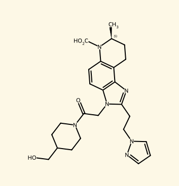 C[C@H]1CCc2c(ccc3c2nc(CCn2cccn2)n3CC(=O)N2CCC(CO)CC2)N1C(=O)O